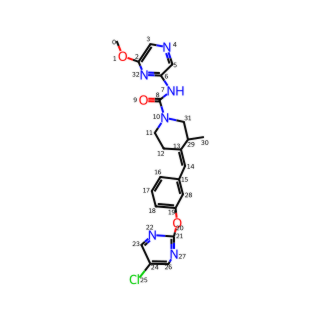 COc1cncc(NC(=O)N2CCC(=Cc3cccc(Oc4ncc(Cl)cn4)c3)C(C)C2)n1